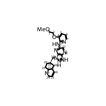 COCCOc1cccnc1Nc1cnc2c(n1)N(C[C@@H]1CCC3N=CC=CC3C1)NN2